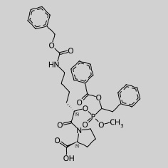 COP(=O)(O[C@@H](CCCCNC(=O)OCc1ccccc1)C(=O)N1CCC[C@H]1C(=O)O)C(Cc1ccccc1)OC(=O)c1ccccc1